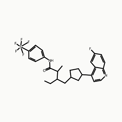 CCC(CC1CCC(c2ccnc3ccc(F)cc23)C1)C(C)C(=O)Nc1ccc(S(F)(F)(F)(F)F)cc1